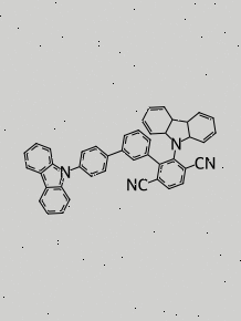 N#Cc1ccc(C#N)c(N2C3C=CC=CC3C3C=CC=CC32)c1-c1cccc(-c2ccc(-n3c4ccccc4c4ccccc43)cc2)c1